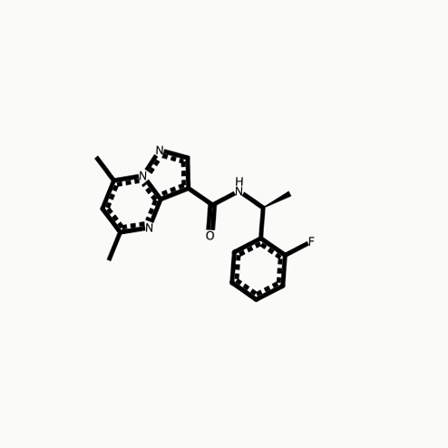 Cc1cc(C)n2ncc(C(=O)N[C@@H](C)c3ccccc3F)c2n1